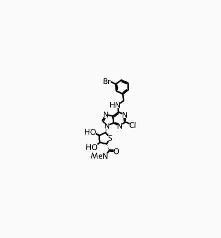 CNC(=O)[C@H]1S[C@@H](n2cnc3c(NCc4cccc(Br)c4)nc(Cl)nc32)C(O)C1O